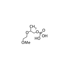 COCCOC(C)COP(=O)(O)O